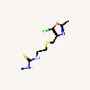 CNC(=S)NCCSCc1nc(C)oc1Cl